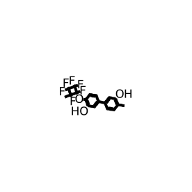 Cc1ccc(-c2ccc(OC3(F)C(C)(F)C(F)(F)C3(F)F)c(O)c2)cc1O